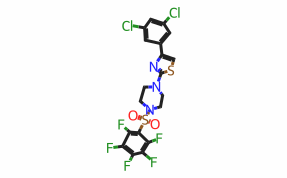 O=S(=O)(c1c(F)c(F)c(F)c(F)c1F)N1CCN(c2nc(-c3cc(Cl)cc(Cl)c3)cs2)CC1